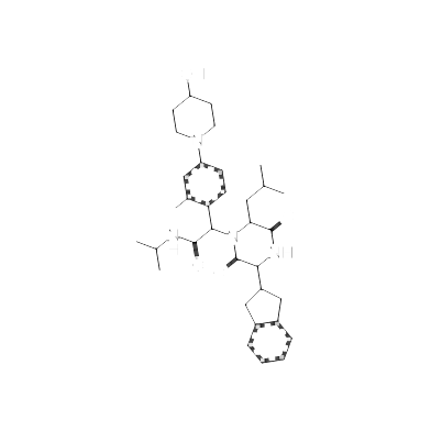 CC(C)CC1C(=O)NC(C2Cc3ccccc3C2)C(=O)N1C(C(=O)NC(C)C)c1ccc(N2CCC(O)CC2)cc1F